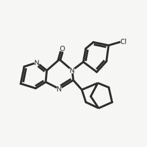 O=c1c2ncccc2nc(C2CC3CCC2C3)n1-c1ccc(Cl)cc1